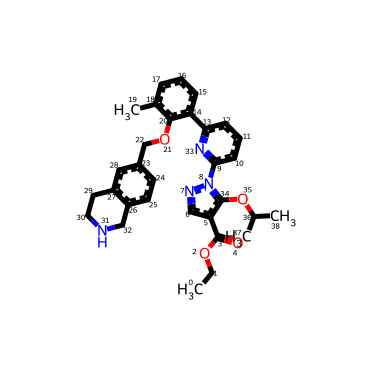 CCOC(=O)c1cnn(-c2cccc(-c3cccc(C)c3OCc3ccc4c(c3)CCNC4)n2)c1OC(C)C